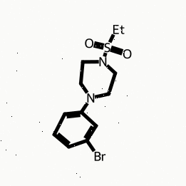 CCS(=O)(=O)N1CCN(c2cccc(Br)c2)CC1